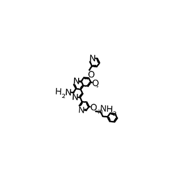 COc1cc2c(cc1OCc1cccnc1)ncc1c(N)nc(-c3cncc(OC[C@@H](N)Cc4ccccc4)c3)cc12